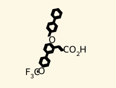 O=C(O)C=Cc1cc(-c2ccc(OC(F)(F)F)cc2)ccc1OCc1ccc(-c2ccccc2)cc1